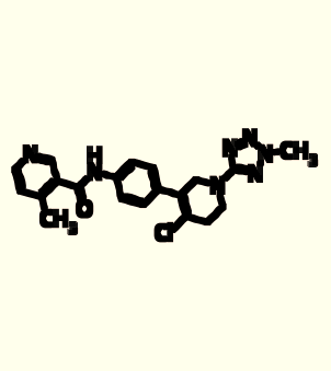 Cc1ccncc1C(=O)Nc1ccc(C2=C(Cl)CCN(c3nnn(C)n3)C2)cc1